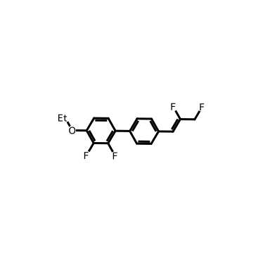 CCOc1ccc(-c2ccc(/C=C(\F)CF)cc2)c(F)c1F